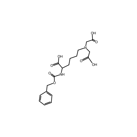 O=C(O)CN(CCCCC(NC(=O)OCc1ccccc1)C(=O)O)CC(=O)O